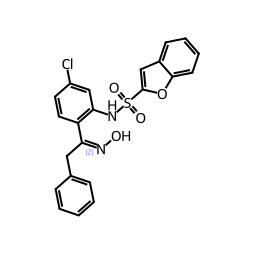 O=S(=O)(Nc1cc(Cl)ccc1/C(Cc1ccccc1)=N\O)c1cc2ccccc2o1